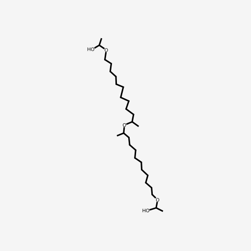 CC(O)OCCCCCCCCCCC(C)OC(C)CCCCCCCCCCOC(C)O